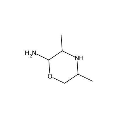 CC1COC(N)C(C)N1